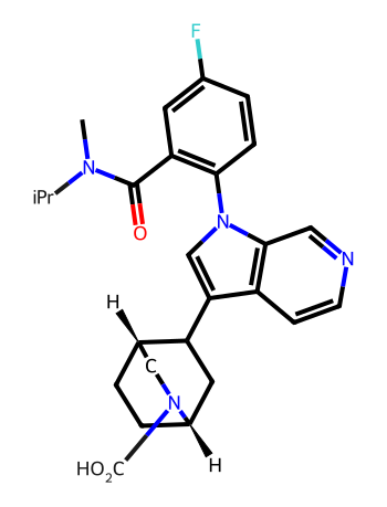 CC(C)N(C)C(=O)c1cc(F)ccc1-n1cc(C2C[C@@H]3CC[C@H]2CN3C(=O)O)c2ccncc21